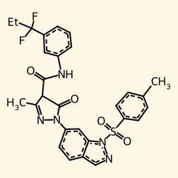 CCC(F)(F)c1cccc(NC(=O)C2C(=O)N(c3ccc4cnn(S(=O)(=O)c5ccc(C)cc5)c4c3)N=C2C)c1